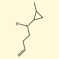 C=CCCN(CC)C1CC1C